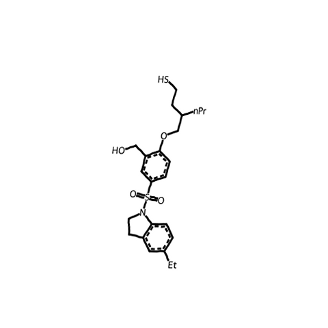 CCCC(CCS)COc1ccc(S(=O)(=O)N2CCc3cc(CC)ccc32)cc1CO